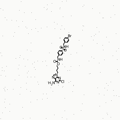 Nc1nc(Cl)nc2c1ncn2CCCCOC(=O)NCc1ccc(S(=O)(=O)NCc2ccc(Br)cc2)cc1